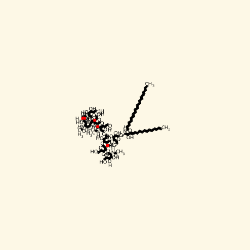 CCCCCCCCCCCCC/C=C/[C@@H](O)[C@H](CO[C@@H]1OC(CO)[C@@H](O[C@@H]2OC(CO[C@@H]3OC(CO)[C@@H](O[C@@H]4OC(CO)[C@H](O[C@@H]5OC(CO)[C@H](O)[C@H](O)C5NC(C)=O)[C@H](O[C@]5(C(=O)O)CC(O)[C@@H](NC(C)=O)C([C@H](O)[C@H](O)CO)O5)C4O)[C@H](O)C3NC(C)=O)[C@H](O)[C@H](O[C@@H]3OC(CO)[C@H](O)[C@H](O[C@@H]4OC(CO)[C@H](O)[C@H](O)C4NC(C)=O)C3O)C2O)[C@H](O)C1O)NC(=O)CCCCCCCCCCCCCCCCCCCCC